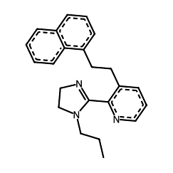 CCCN1CCN=C1c1ncccc1CCc1cccc2ccccc12